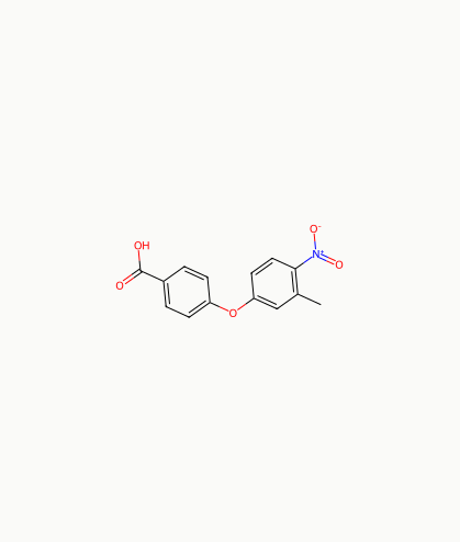 Cc1cc(Oc2ccc(C(=O)O)cc2)ccc1[N+](=O)[O-]